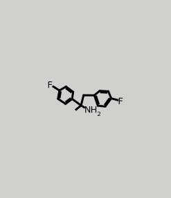 CC(N)(Cc1ccc(F)cc1)c1ccc(F)cc1